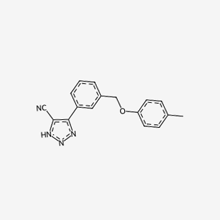 Cc1ccc(OCc2cccc(-c3nn[nH]c3C#N)c2)cc1